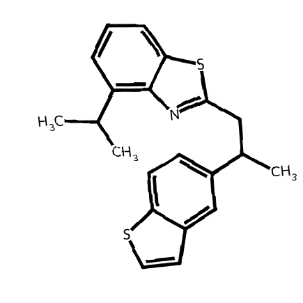 CC(C)c1cccc2sc(CC(C)c3ccc4sccc4c3)nc12